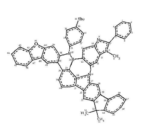 Cn1c(-c2ccccc2)nc2cc3c(cc21)-n1c2cc4c(cc2c2ccc5c(c21)B3N(c1ccc(C(C)(C)C)cc1)c1cc2oc3ccccc3c2cc1-5)C(C)(C)c1ccccc1-4